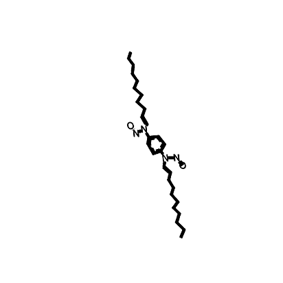 CCCCCCCCCC=CN(N=O)c1ccc(N(C=CCCCCCCCCC)N=O)cc1